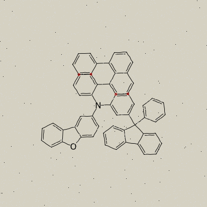 c1ccc(-c2cccc3cccc(-c4ccccc4N(c4cccc(C5(c6ccccc6)c6ccccc6-c6ccccc65)c4)c4ccc5oc6ccccc6c5c4)c23)cc1